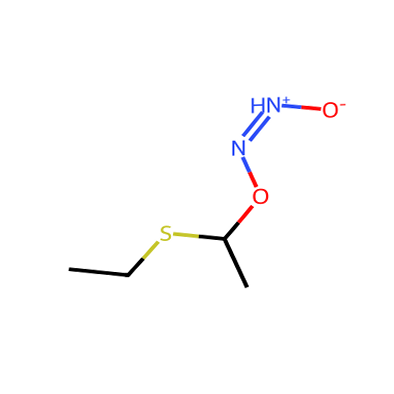 CCSC(C)O/N=[NH+]\[O-]